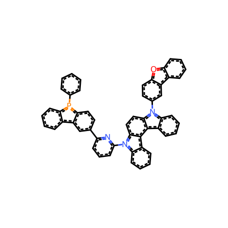 c1ccc(-p2c3ccccc3c3cc(-c4cccc(-n5c6ccccc6c6c7c8ccccc8n(-c8ccc9oc%10ccccc%10c9c8)c7ccc65)n4)ccc32)cc1